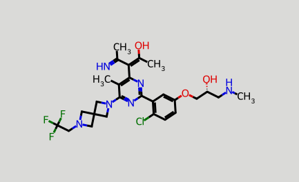 CNC[C@@H](O)COc1ccc(Cl)c(-c2nc(/C(C(C)=N)=C(\C)O)c(C)c(N3CC4(CN(CC(F)(F)F)C4)C3)n2)c1